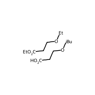 CCC(C)OCCC(=O)O.CCOCCC(=O)OCC